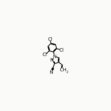 C=Cc1cn(-c2c(Cl)cc(Cl)cc2Cl)nc1C#N